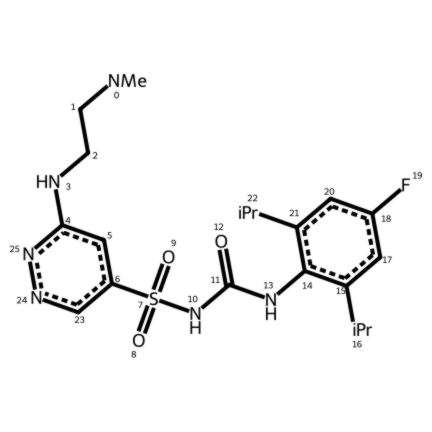 CNCCNc1cc(S(=O)(=O)NC(=O)Nc2c(C(C)C)cc(F)cc2C(C)C)cnn1